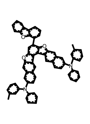 Cc1cccc(N(c2ccccc2)c2ccc3cc4c(cc3c2)oc2cc(-c3cccc5c3oc3ccccc35)c3oc5cc6cc(N(c7ccccc7)c7cccc(C)c7)ccc6cc5c3c24)c1